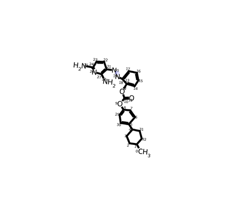 CC1CCC(c2ccc(OC(=O)Oc3ccccc3/N=N/c3ccc(N)nc3N)cc2)CC1